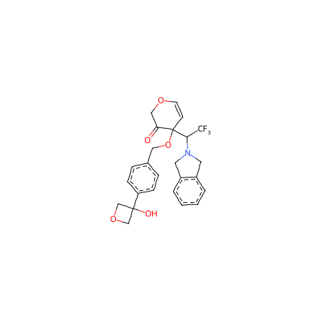 O=C1COC=CC1(OCc1ccc(C2(O)COC2)cc1)C(N1Cc2ccccc2C1)C(F)(F)F